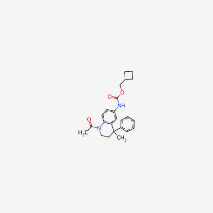 CC(=O)N1CCC(C)(c2ccccc2)c2cc(NC(=O)OCC3CCC3)ccc21